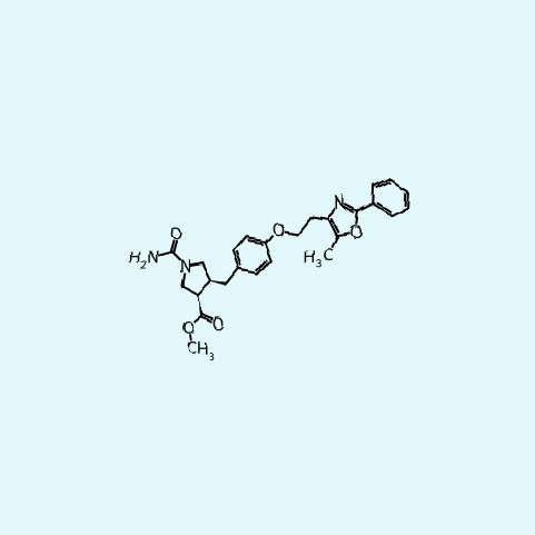 COC(=O)[C@H]1CN(C(N)=O)C[C@H]1Cc1ccc(OCCc2nc(-c3ccccc3)oc2C)cc1